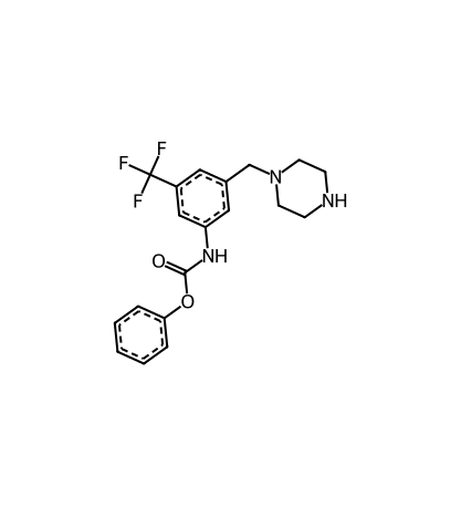 O=C(Nc1cc(CN2CCNCC2)cc(C(F)(F)F)c1)Oc1ccccc1